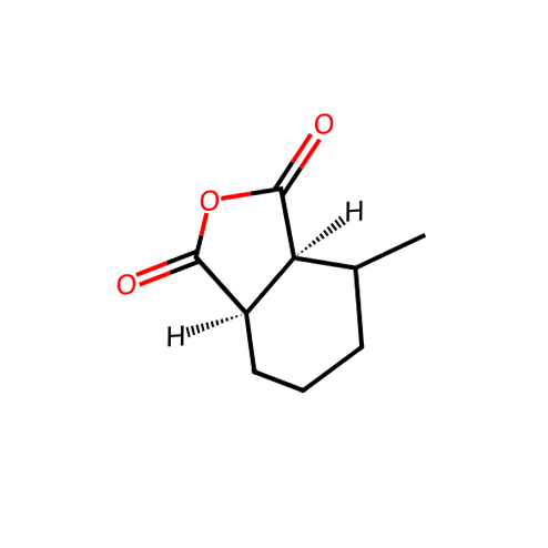 CC1CCC[C@H]2C(=O)OC(=O)[C@@H]12